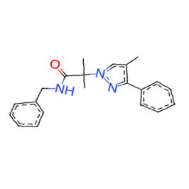 Cc1cn(C(C)(C)C(=O)NCc2ccccc2)nc1-c1ccccc1